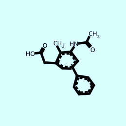 CC(=O)Nc1cc(-c2ccccc2)cc(CC(=O)O)c1C